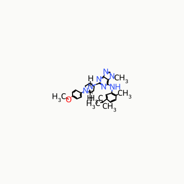 COc1ccc(N2C[C@@H]3CC[C@H]2CN3c2nc(Nc3cc(C(C)(C)C)ccc3C)c3c(ncn3C)n2)cc1